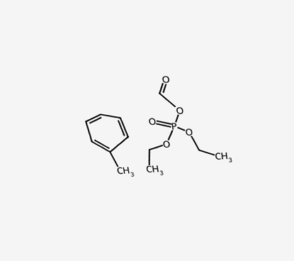 CCOP(=O)(OC=O)OCC.Cc1ccccc1